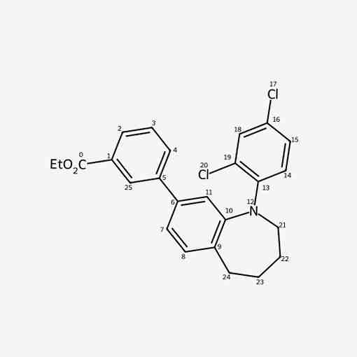 CCOC(=O)c1cccc(-c2ccc3c(c2)N(c2ccc(Cl)cc2Cl)CCCC3)c1